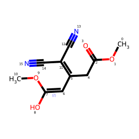 COC(=O)CC(/C=C(/O)OC)=C(C#N)C#N